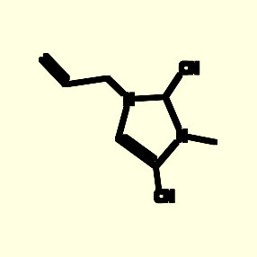 C=CCN1C=C(C#N)N(C)C1C#N